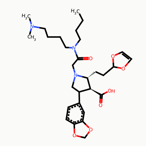 CCCCN(CCCCN(C)C)C(=O)CN1CC(c2ccc3c(c2)OCO3)[C@H](C(=O)O)[C@H]1CCC1OC=CO1